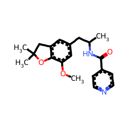 COc1cc(CC(C)NC(=O)c2ccncc2)cc2c1OC(C)(C)C2